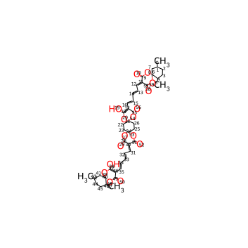 CC1CCC(C)C2(C1)OC(=O)C(=C/C=C/C=C/C1=C(O)OC3(CCC4(CC3)OC(=O)C(=C/C=C/C=C/C3=C(O)OC5(CC(C)CCC5C)OC3=O)C(=O)O4)OC1=O)C(=O)O2